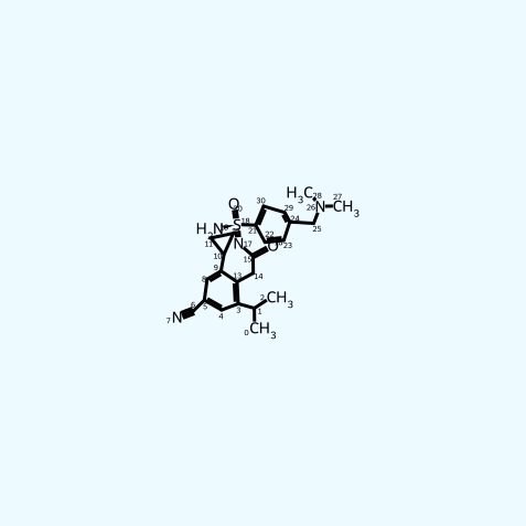 CC(C)c1cc(C#N)cc(C2CC2)c1CC(=O)N=[S@](N)(=O)c1ccc(CN(C)C)cc1